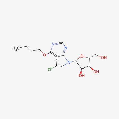 CCCCOc1ncnc2c1c(Cl)cn2C1O[C@H](CO)[C@@H](O)[C@H]1O